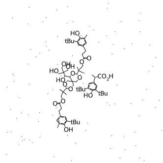 CC(C(=O)O)c1cc(C(C)(C)C)c(O)c(C(C)(C)C)c1.Cc1cc(CCC(=O)OCC(C)(C)C2OCC3(CO2)COC(C(C)(C)COC(=O)CCc2cc(C)c(O)c(C(C)(C)C)c2)OC3C(O)C(CO)(CO)CO)cc(C(C)(C)C)c1O